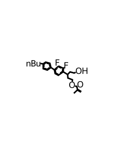 C=C(C)C(=O)OCCC(CCO)c1ccc(-c2ccc(CCCC)cc2)c(F)c1F